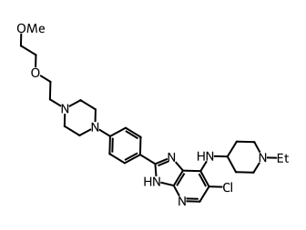 CCN1CCC(Nc2c(Cl)cnc3[nH]c(-c4ccc(N5CCN(CCOCCOC)CC5)cc4)nc23)CC1